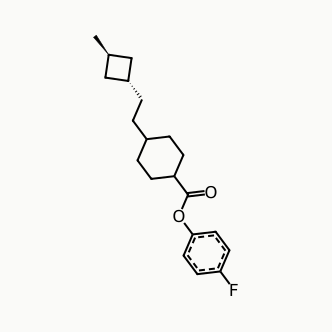 C[C@H]1C[C@H](CCC2CCC(C(=O)Oc3ccc(F)cc3)CC2)C1